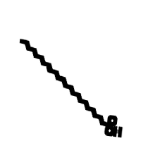 CCCCCCCC=CCC=CCCCCCCCCCCCC(=O)O